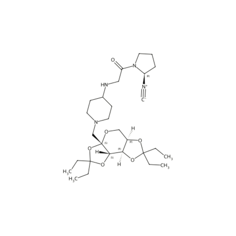 [C-]#[N+][C@@H]1CCCN1C(=O)CNC1CCN(C[C@@]23OC[C@H]4OC(CC)(CC)O[C@H]4[C@@H]2OC(CC)(CC)O3)CC1